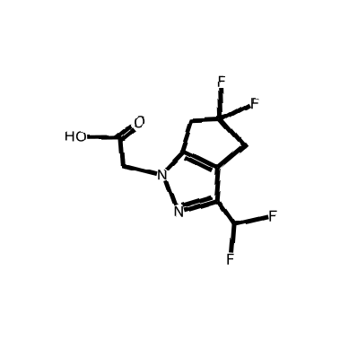 O=C(O)Cn1nc(C(F)F)c2c1CC(F)(F)C2